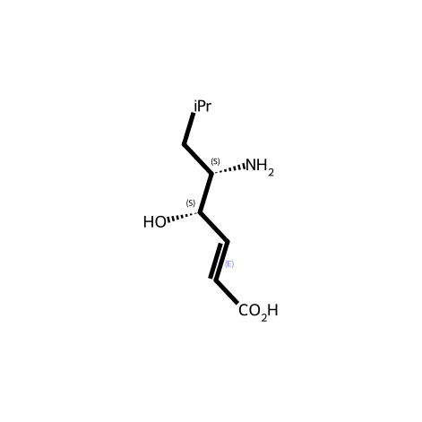 CC(C)C[C@H](N)[C@@H](O)/C=C/C(=O)O